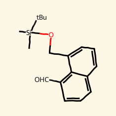 CC(C)(C)[Si](C)(C)OCc1cccc2cccc(C=O)c12